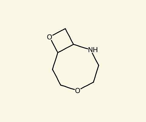 C1COCCC2OCC2N1